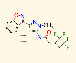 Cn1nc(-c2noc3ccccc23)c(C2CCC2)c1NC(=O)C[C@H]1CC(F)(F)C1(F)F